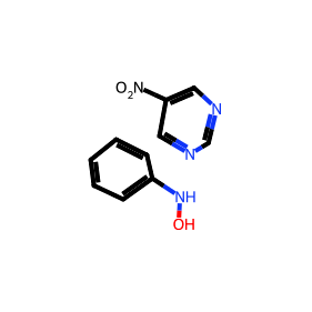 O=[N+]([O-])c1cncnc1.ONc1ccccc1